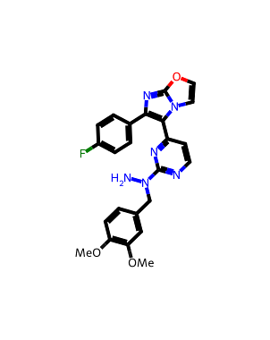 COc1ccc(CN(N)c2nccc(-c3c(-c4ccc(F)cc4)nc4occn34)n2)cc1OC